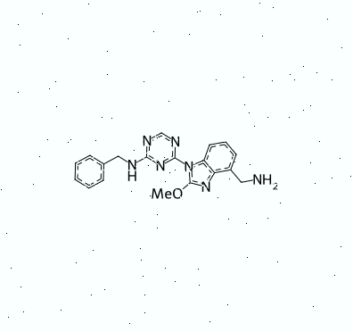 COc1nc2c(CN)cccc2n1-c1ncnc(NCc2ccccc2)n1